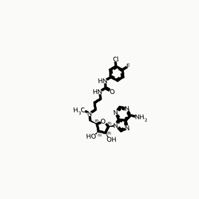 CN(CCCNC(=O)Nc1ccc(F)c(Cl)c1)C[C@H]1O[C@@H](n2cnc3c(N)ncnc32)[C@H](O)[C@@H]1O